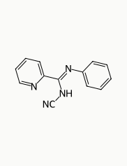 N#CN/C(=N\c1ccccc1)c1ccccn1